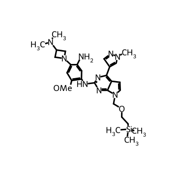 COc1cc(N2CC(N(C)C)C2)c(N)cc1Nc1nc(-c2cnn(C)c2)c2ccn(COCC[Si](C)(C)C)c2n1